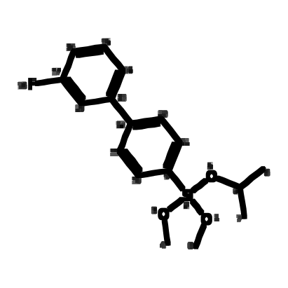 CO[Si](OC)(OC(C)C)c1ccc(-c2cccc(F)c2)cc1